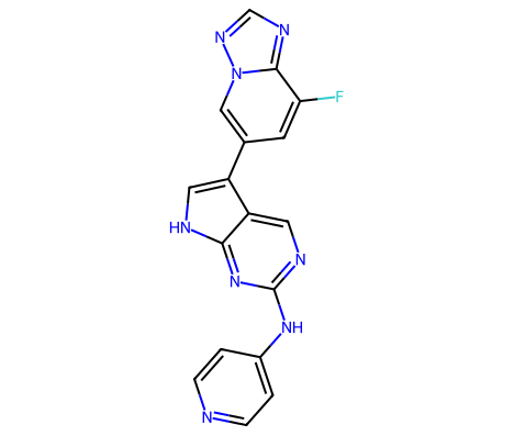 Fc1cc(-c2c[nH]c3nc(Nc4ccncc4)ncc23)cn2ncnc12